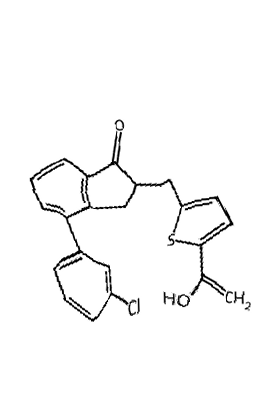 C=C(O)c1ccc(CC2Cc3c(cccc3-c3cccc(Cl)c3)C2=O)s1